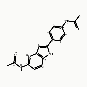 CC(=O)Nc1ccc(-c2cc3nc(NC(C)=O)ccc3[nH]2)cc1